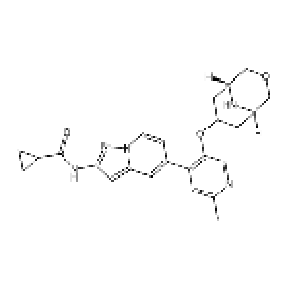 Cc1cc(-c2ccn3nc(NC(=O)C4CC4)cc3c2)c(OC2C[C@H]3COC[C@@H](C2)N3)cn1